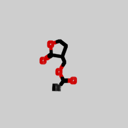 CCC(=O)OCC1CCOC1=O